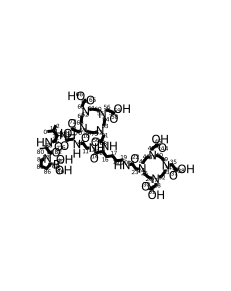 CC(C)[C@H](NC(=O)CNC(=O)CNC(=O)C(CCCCNC(=O)CN1CCN(CC(=O)O)CCN(CC(=O)O)CCN(CC(=O)O)CC1)NC(=O)CN1CCN(CC(=O)O)CCN(CC(=O)O)CCN(CC(=O)O)CC1)C(=O)N[C@H](C)C(=O)N1CCC[C@H]1B(O)O